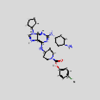 N[C@H]1CC[C@H](Nc2nc(NC3CCN(C(=O)Oc4ccc(F)cc4)CC3)c3ncn(C4CCCC4)c3n2)CC1